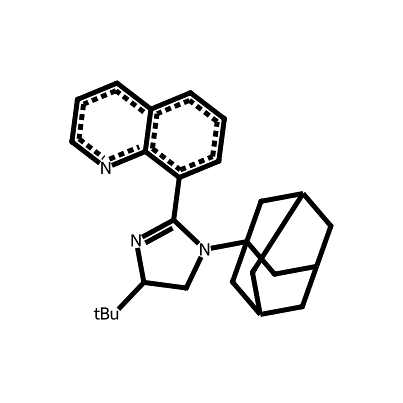 CC(C)(C)C1CN(C23CC4CC(CC(C4)C2)C3)C(c2cccc3cccnc23)=N1